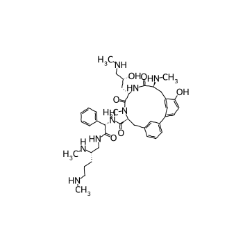 CNCCC[C@@H](CNC(=O)[C@@H](NC(=O)[C@@H]1Cc2cccc(c2)-c2ccc(O)c(c2)C[C@H](NC)C(=O)N[C@@H](C[C@@H](O)CNC)C(=O)N1C)c1ccccc1)NC